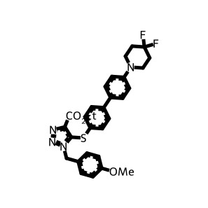 CCOC(=O)c1nnn(Cc2ccc(OC)cc2)c1Sc1ccc(-c2ccc(N3CCC(F)(F)CC3)cc2)cc1